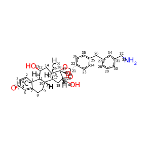 C[C@]12C=CC(=O)C=C1CC[C@@H]1[C@@H]2[C@@H](O)C[C@@]2(C)[C@H]1C[C@H]1O[C@@H](c3ccc(Cc4cccc(CN)c4)cc3)O[C@]12C(=O)CO